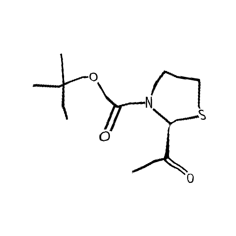 CC(=O)[C@@H]1SCCN1C(=O)OC(C)(C)C